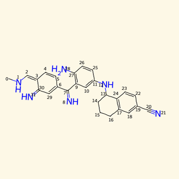 CN/C=C1/C=CC(C(=N)c2cc(NC3CCCc4cc(C#N)ccc43)ccc2N)=CC1=N